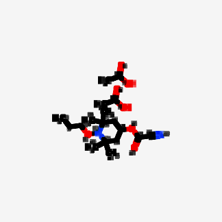 CC(=O)O.CC(=O)O.CCCON1C(C)(C)CC(OC(=O)C#N)CC1(C)C